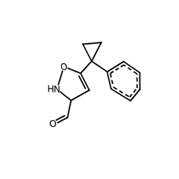 O=CC1C=C(C2(c3ccccc3)CC2)ON1